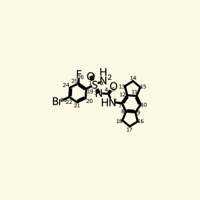 NS(=O)(=NC(=O)Nc1c2c(cc3c1CCC3)CCC2)c1ccc(Br)cc1F